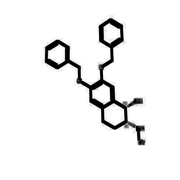 CC(C)N[C@@H]1CCc2cc(OCc3ccccc3)c(OCc3ccccc3)cc2[C@@H]1O